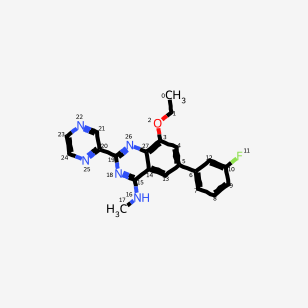 CCOc1cc(-c2cccc(F)c2)cc2c(NC)nc(-c3cnccn3)nc12